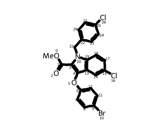 COC(=O)c1c(Oc2ccc(Br)cc2)c2cc(Cl)ccc2n1Cc1ccc(Cl)cc1